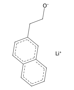 [Li+].[O-]CCc1ccc2ccccc2c1